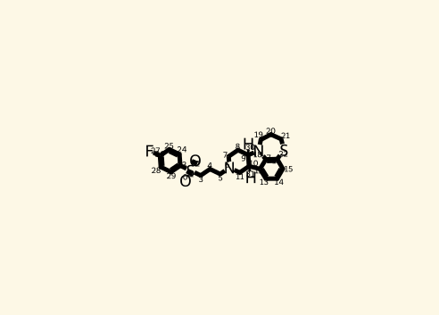 O=S(=O)(CCCN1CC[C@H]2[C@@H](C1)c1cccc3c1N2CCCS3)c1ccc(F)cc1